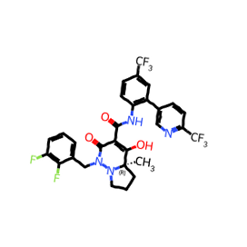 C[C@]12CCCN1N(Cc1cccc(F)c1F)C(=O)C(C(=O)Nc1ccc(C(F)(F)F)cc1-c1ccc(C(F)(F)F)nc1)=C2O